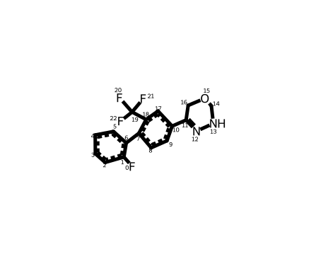 Fc1ccccc1-c1ccc(C2=NNCOC2)cc1C(F)(F)F